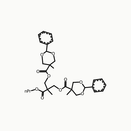 CCCOC(=O)C(C)(COC(=O)C1(C)COC(c2ccccc2)OC1)COC(=O)C1(C)COC(c2ccccc2)OC1